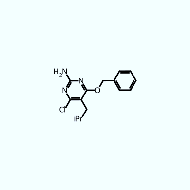 CC(C)Cc1c(Cl)nc(N)nc1OCc1ccccc1